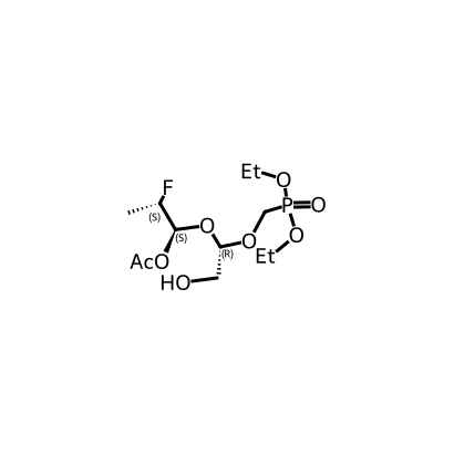 CCOP(=O)(CO[C@H](CO)O[C@@H](OC(C)=O)[C@H](C)F)OCC